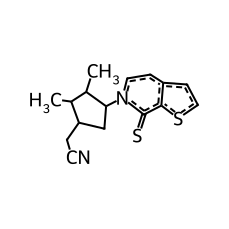 CC1C(CC#N)CC(n2ccc3ccsc3c2=S)C1C